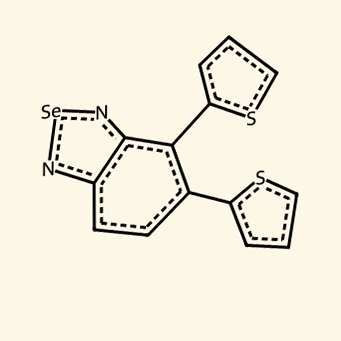 c1csc(-c2ccc3n[se]nc3c2-c2cccs2)c1